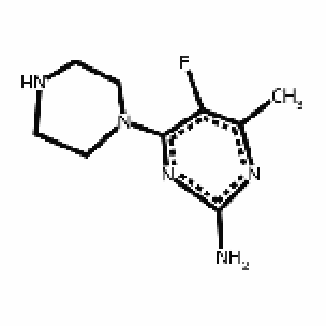 Cc1nc(N)nc(N2CCNCC2)c1F